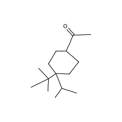 CC(=O)C1CCC(C(C)C)(C(C)(C)C)CC1